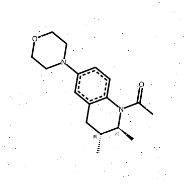 CC(=O)N1c2ccc(N3CCOCC3)cc2C[C@@H](C)[C@@H]1C